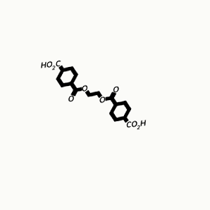 O=C(O)C1CCC(C(=O)OCCOC(=O)C2CCC(C(=O)O)CC2)CC1